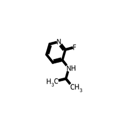 CC(C)Nc1cccnc1F